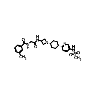 Cc1cccc(C(=O)NCC(=O)NC2CN([C@H]3CC[C@@H](c4ccc(NS(C)(=O)=O)cn4)CC3)C2)c1